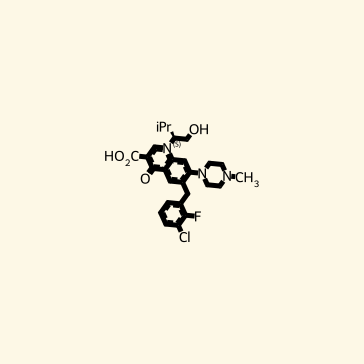 CC(C)[C@@H](CO)n1cc(C(=O)O)c(=O)c2cc(Cc3cccc(Cl)c3F)c(N3CCN(C)CC3)cc21